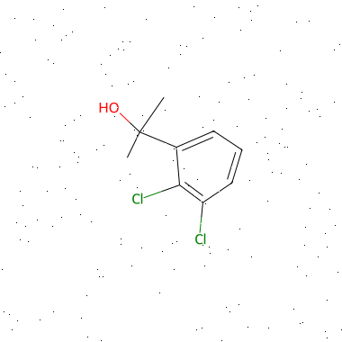 CC(C)(O)c1cccc(Cl)c1Cl